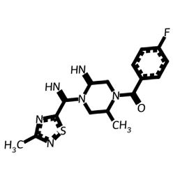 Cc1nsc(C(=N)N2CC(C)N(C(=O)c3ccc(F)cc3)CC2=N)n1